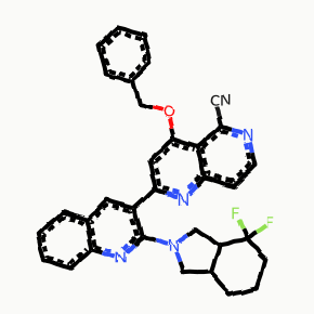 N#Cc1nccc2nc(-c3cc4ccccc4nc3N3CC4CCCC(F)(F)C4C3)cc(OCc3ccccc3)c12